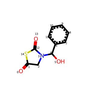 O=C1CN(C(O)c2ccccc2)C(=O)S1